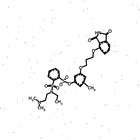 CCN(CCN(C)C)S(=O)(=O)c1ccccc1S(=O)(=O)Oc1cc(C)cc(OCCCOc2cccc3c2C(=O)NC3=O)c1